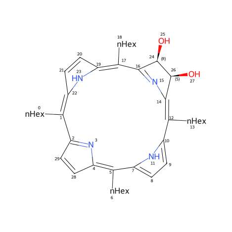 CCCCCCc1c2nc(c(CCCCCC)c3ccc([nH]3)c(CCCCCC)c3nc(c(CCCCCC)c4ccc1[nH]4)[C@@H](O)[C@H]3O)C=C2